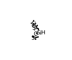 C[Si@@H](C[Si](C)(C)O[Si](C)(C)C)O[Si](C)(C)C